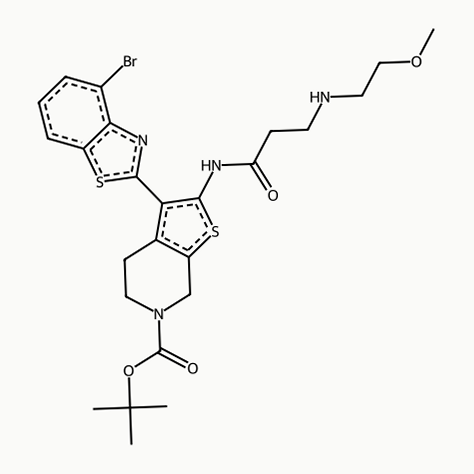 COCCNCCC(=O)Nc1sc2c(c1-c1nc3c(Br)cccc3s1)CCN(C(=O)OC(C)(C)C)C2